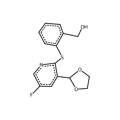 OCc1ccccc1Sc1ncc(F)cc1C1OCCO1